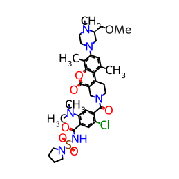 COC[C@H]1CN(c2cc(C)c3c4c(c(=O)oc3c2C)CN(C(=O)c2cc(N(C)C)c(C(=O)NS(=O)(=O)N3CCCC3)cc2Cl)CC4)CCN1C